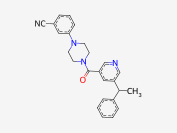 CC(c1ccccc1)c1cncc(C(=O)N2CCN(c3cccc(C#N)c3)CC2)c1